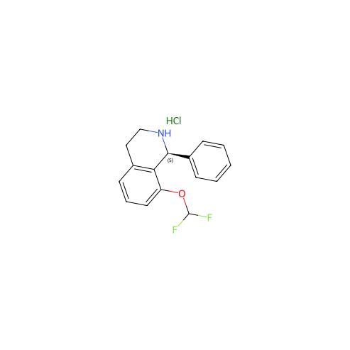 Cl.FC(F)Oc1cccc2c1[C@H](c1ccccc1)NCC2